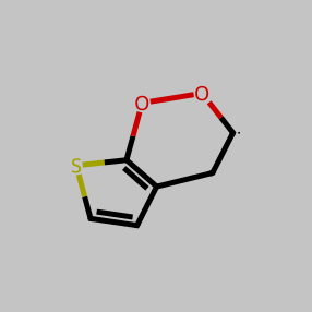 [CH]1Cc2ccsc2OO1